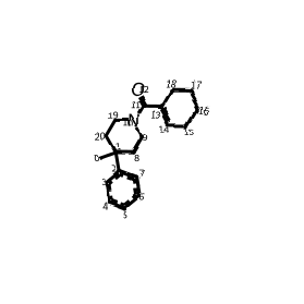 CC1(c2ccccc2)CCN(C(=O)C2=CCCCC2)CC1